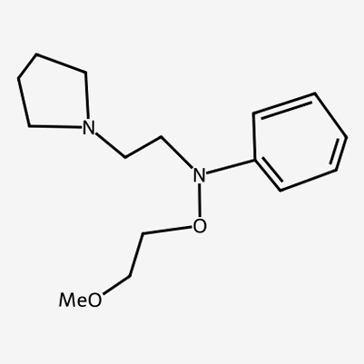 COCCON(CCN1CCCC1)c1ccccc1